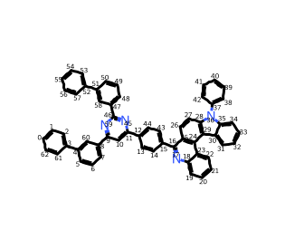 c1ccc(-c2cccc(-c3cc(-c4ccc(-c5nc6ccccc6c6c5ccc5c6c6ccccc6n5-c5ccccc5)cc4)nc(-c4cccc(-c5ccccc5)c4)n3)c2)cc1